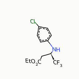 CCOC(=O)C[C@@H](Nc1ccc(Cl)cc1)C(F)(F)F